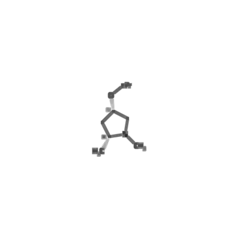 CCCO[C@H]1C[C@@H](C)N(C)C1